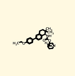 CCOc1ccc(-c2ccc3c(c2)CCC(C)(C)[C@H]3NC(=O)O[C@@H]2CN3CCC2CC3)cc1